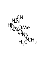 COc1cc(N2CC[C@@H](N(C)C)C2)ccc1-n1cnc(Nc2cnc(C#N)cn2)c1